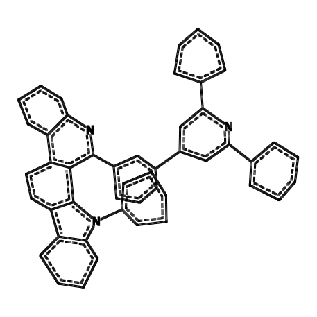 c1ccc(-c2cc(-c3cccc(-c4nc5ccccc5c5ccc6c7ccccc7n(-c7ccccc7)c6c45)c3)cc(-c3ccccc3)n2)cc1